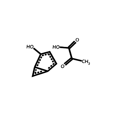 CC(=O)C(=O)O.Oc1ccc2cc1-2